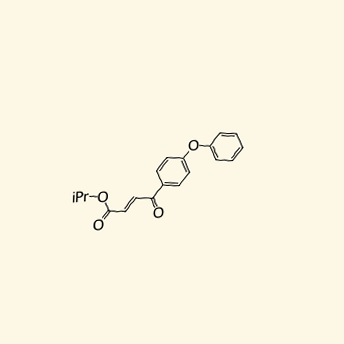 CC(C)OC(=O)C=CC(=O)c1ccc(Oc2ccccc2)cc1